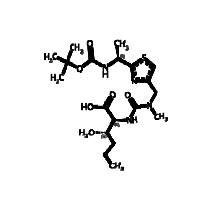 CCC[C@H](C)[C@H](NC(=O)N(C)Cc1csc([C@H](C)NC(=O)OC(C)(C)C)n1)C(=O)O